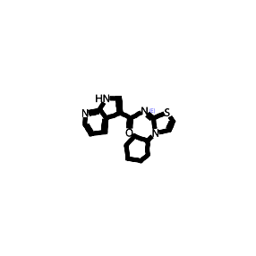 O=C(/N=c1/sccn1C1CCCCC1)c1c[nH]c2ncccc12